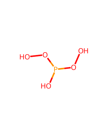 OOP(O)OO